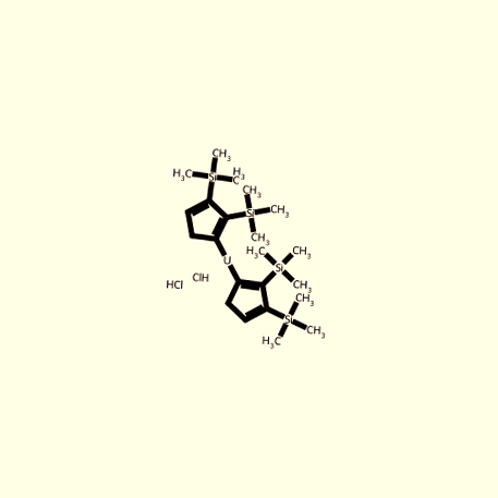 C[Si](C)(C)C1=CC[C]([U][C]2=C([Si](C)(C)C)C([Si](C)(C)C)=CC2)=C1[Si](C)(C)C.Cl.Cl